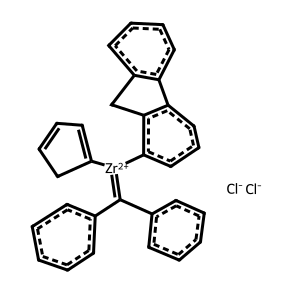 C1=CC[C]([Zr+2](=[C](c2ccccc2)c2ccccc2)[c]2cccc3c2Cc2ccccc2-3)=C1.[Cl-].[Cl-]